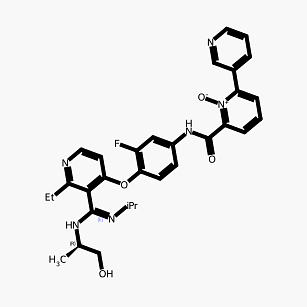 CCc1nccc(Oc2ccc(NC(=O)c3cccc(-c4cccnc4)[n+]3[O-])cc2F)c1/C(=N\C(C)C)N[C@H](C)CO